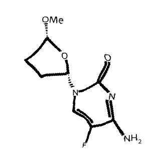 CO[C@H]1CC[C@@H](n2cc(F)c(N)nc2=O)O1